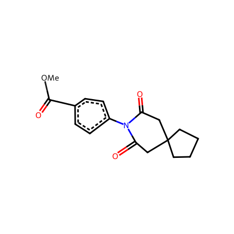 COC(=O)c1ccc(N2C(=O)CC3(CCCC3)CC2=O)cc1